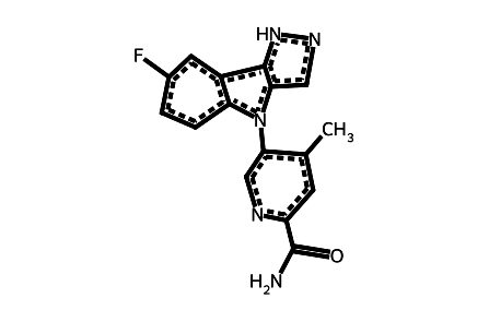 Cc1cc(C(N)=O)ncc1-n1c2ccc(F)cc2c2[nH]ncc21